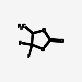 O=C1OC(C(F)(F)F)C(F)(F)O1